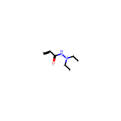 C=CC(=O)NN(CC)CC